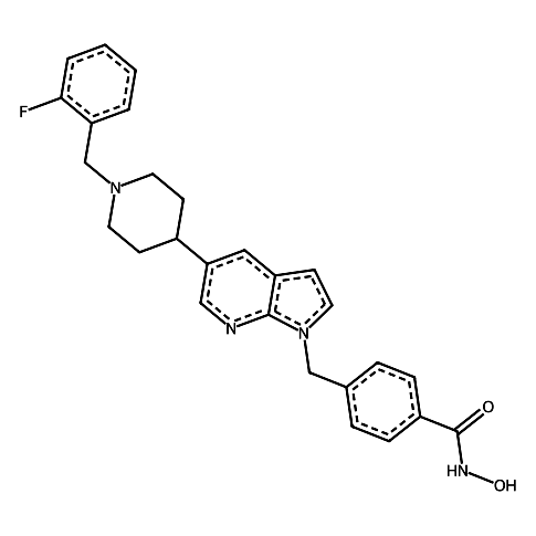 O=C(NO)c1ccc(Cn2ccc3cc(C4CCN(Cc5ccccc5F)CC4)cnc32)cc1